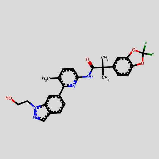 Cc1ccc(NC(=O)C(C)(C)c2ccc3c(c2)OC(F)(F)O3)nc1-c1ccc2cnn(CCO)c2c1